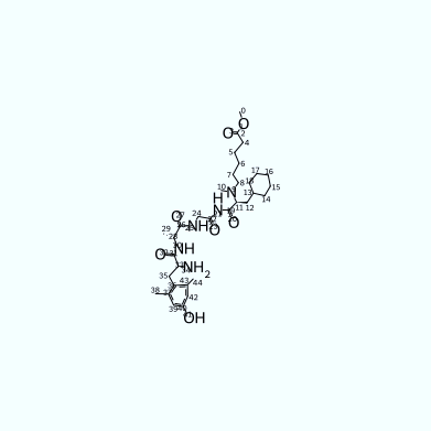 COC(=O)CCCCCN(C)[C@@H](CC1CCCCC1)C(=O)NC(=O)CNC(=O)[C@@H](C)NC(=O)[C@@H](N)Cc1c(C)cc(O)cc1C